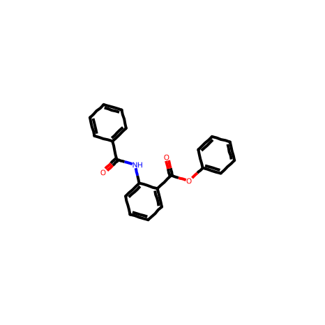 O=C(Nc1ccccc1C(=O)Oc1ccccc1)c1ccccc1